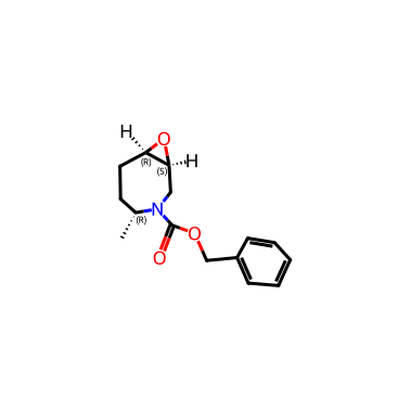 C[C@@H]1CC[C@H]2O[C@H]2CN1C(=O)OCc1ccccc1